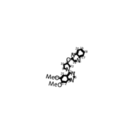 COc1cc2ncnc(N3CCC(Oc4cnc5ccccc5n4)C3)c2cc1OC